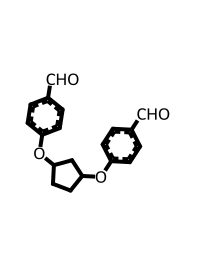 O=Cc1ccc(OC2CCC(Oc3ccc(C=O)cc3)C2)cc1